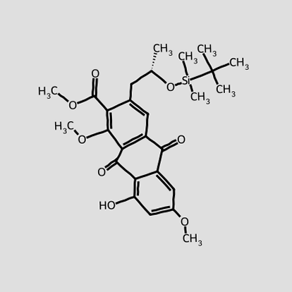 COC(=O)c1c(C[C@H](C)O[Si](C)(C)C(C)(C)C)cc2c(c1OC)C(=O)c1c(O)cc(OC)cc1C2=O